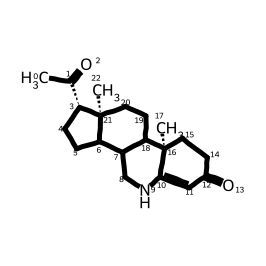 CC(=O)[C@H]1CCC2C3CNC4=CC(=O)CC[C@]4(C)C3CC[C@@]21C